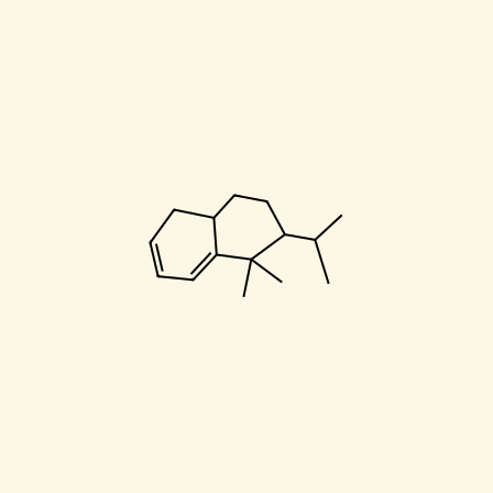 CC(C)C1CCC2CC=CC=C2C1(C)C